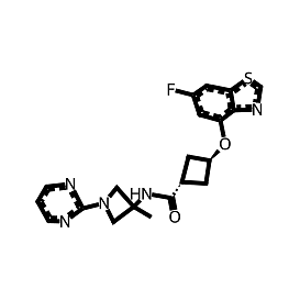 CC1(NC(=O)[C@H]2C[C@H](Oc3cc(F)cc4scnc34)C2)CN(c2ncccn2)C1